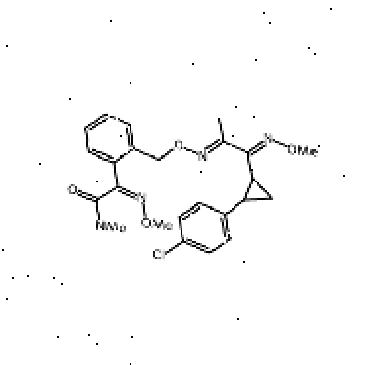 CNC(=O)/C(=N\OC)c1ccccc1CO/N=C(C)/C(=N/OC)C1CC1c1ccc(Cl)cc1